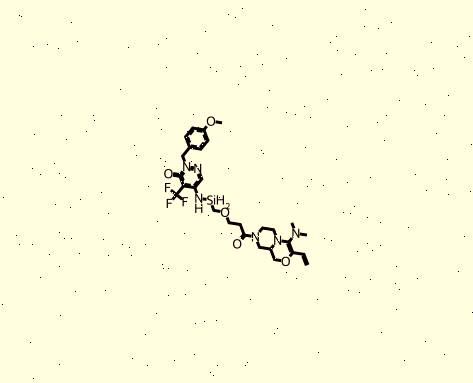 C=CC1=C(N(C)C)N2CCN(C(=O)CCOC[SiH2]Nc3cnn(Cc4ccc(OC)cc4)c(=O)c3C(F)(F)F)CC2CO1